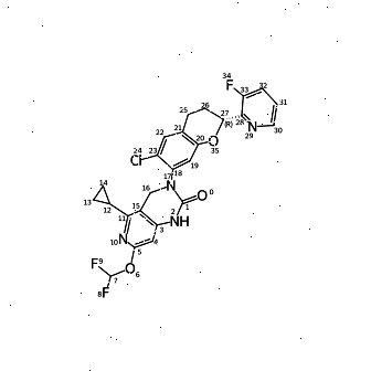 O=C1Nc2cc(OC(F)F)nc(C3CC3)c2CN1c1cc2c(cc1Cl)CC[C@H](c1ncccc1F)O2